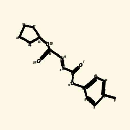 Cc1ccc(OC(=O)N=NC(=O)OC2CCCC2)cc1